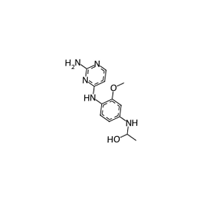 COc1cc(NC(C)O)ccc1Nc1ccnc(N)n1